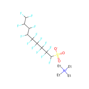 CC[N+](CC)(CC)CC.O=S(=O)([O-])C(F)C(F)(F)C(F)(F)C(F)(F)C(F)(F)C(F)C(F)C(F)C(F)F